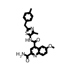 COc1ccc2nc(C(N)=O)cc(C(=O)Nc3sc(Cc4ccc(C)cc4)nc3C)c2c1